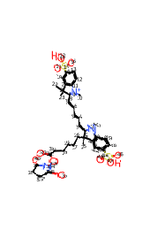 CN1\C(=C/C=C/C=C/C2=[N+](C)c3ccc(S(=O)(=O)O)cc3C2(C)C)C(C)(CCCCCC(=O)ON2C(=O)CCC2=O)c2cc(S(=O)(=O)O)ccc21